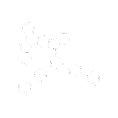 c1cncc(-c2ccc(-c3cc(-n4c5ccccc5c5cc6c7ccccc7c7nc8ccccc8n7c6cc54)cc(-c4ccc(-c5cccnc5)cc4)n3)cc2)c1